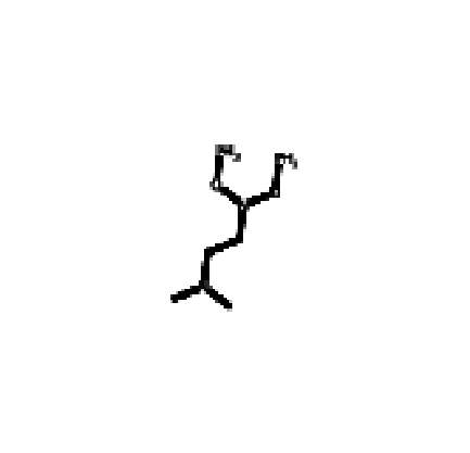 CN(C)CCN(OP)OP